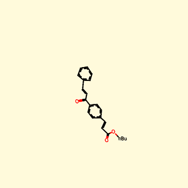 CCCCOC(=O)C=Cc1ccc(C(=O)C=Cc2ccccc2)cc1